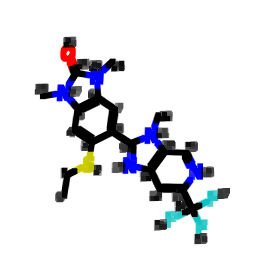 CCSc1cc2c(cc1-c1nc3cc(C(F)(F)F)ncc3n1C)n(C)c(=O)n2C